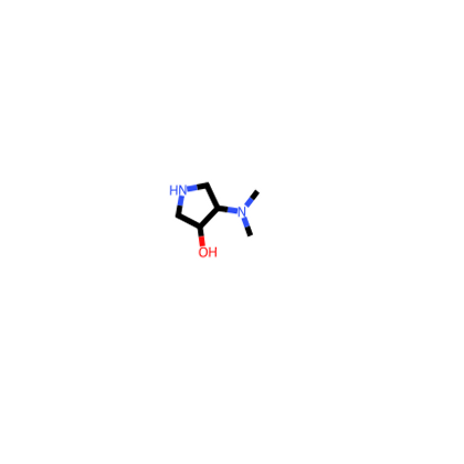 CN(C)C1CNCC1O